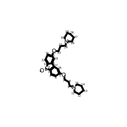 [O-][s+]1c2ccc(OCCCN3CCCCC3)cc2c2cc(OCCCN3CCCCC3)ccc21